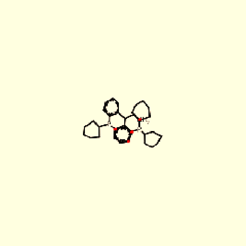 NCC(c1ccccc1P(C1CCCCC1)C1CCCCC1)c1ccccc1P(C1CCCCC1)C1CCCCC1